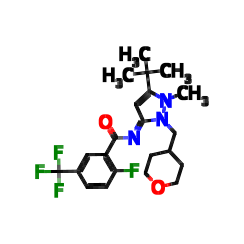 Cn1c(C(C)(C)C)cc(=NC(=O)c2cc(C(F)(F)F)ccc2F)n1CC1CCOCC1